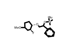 COC1CC[C@H](OCC(O[Si](C)(C)C(C)(C)C)c2ccccc2)[C@@H](F)C1